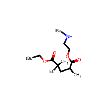 CCC(C)(CC(C)C(=O)OCCNC(C)(C)C)C(=O)OCC(C)(C)C